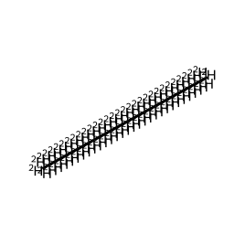 [2H]C([2H])([2H])C([2H])([2H])C([2H])([2H])C([2H])([2H])C([2H])([2H])C([2H])([2H])C([2H])([2H])C([2H])([2H])C([2H])([2H])C([2H])([2H])C([2H])([2H])C([2H])([2H])C([2H])([2H])C([2H])([2H])C([2H])([2H])C([2H])([2H])C([2H])([2H])C([2H])([2H])C([2H])([2H])C([2H])([2H])C([2H])([2H])C([2H])([2H])C([2H])([2H])C([2H])([2H])C([2H])([2H])C([2H])([2H])C([2H])([2H])C([2H])([2H])C([2H])([2H])C([2H])([2H])[2H]